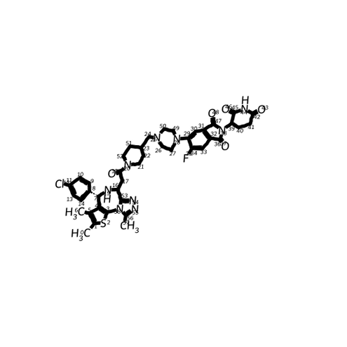 Cc1sc2c(c1C)[C@H](c1ccc(Cl)cc1)NC(CC(=O)N1CCC(CN3CCN(c4cc5c(cc4F)C(=O)N(C4CCC(=O)NC4=O)C5=O)CC3)CC1)c1nnc(C)n1-2